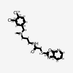 CN(CCCNC(=O)CSc1nc2cccnc2o1)Cc1ccc(Cl)c(Cl)c1